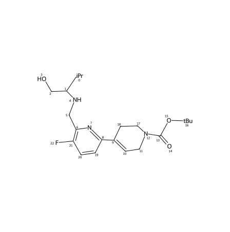 CC(C)C(CO)NCc1nc(C2=CCN(C(=O)OC(C)(C)C)CC2)ccc1F